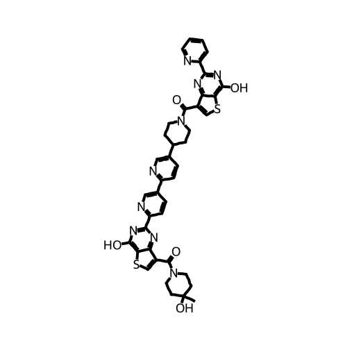 CC1(O)CCN(C(=O)c2csc3c(O)nc(-c4ccc(-c5ccc(C6CCN(C(=O)c7csc8c(O)nc(-c9ccccn9)nc78)CC6)cn5)cn4)nc23)CC1